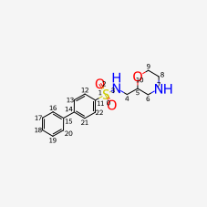 O=S(=O)(NCC1CNCCO1)c1ccc(-c2ccccc2)cc1